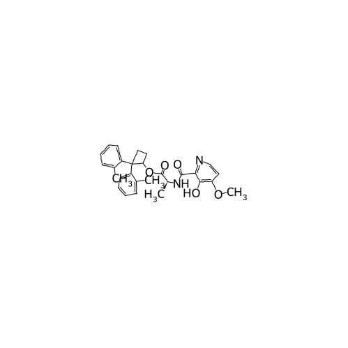 COc1ccnc(C(=O)N[C@@H](C)C(=O)OC2CCC2(c2ccccc2C)c2ccccc2C)c1O